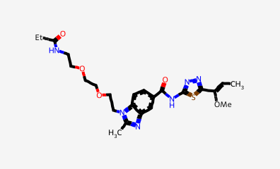 C/C=C(\OC)c1nnc(NC(=O)c2ccc3c(c2)nc(C)n3CCOCCOCCNC(=O)CC)s1